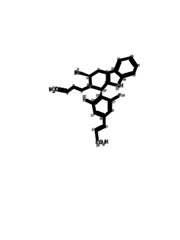 C=CCCN1[C@@H](CC)Cc2c([nH]c3ccccc23)[C@@H]1c1c(F)cc(/C=C/C(=O)O)cc1F